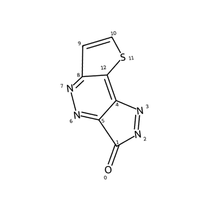 O=C1N=Nc2c1nnc1ccsc21